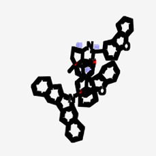 CC1C/C=C(c2ccc(-c3ccccc3)cc2)/N=C(c2ccc3oc4ccccc4c3c2)\N=C/1c1cc(-n2c3cc4ccccc4cc3c3cc4ccccc4cc32)cc2oc3ccccc3c12